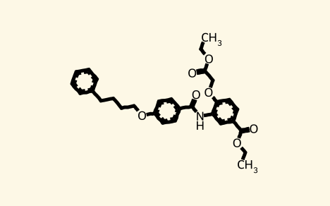 CCOC(=O)COc1ccc(C(=O)OCC)cc1NC(=O)c1ccc(OCCCCc2ccccc2)cc1